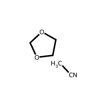 C1COCO1.CC#N